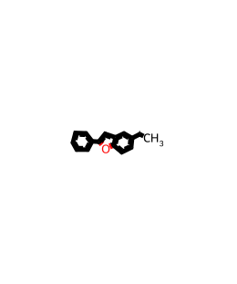 C[CH]c1ccc2oc(-c3ccccc3)cc2c1